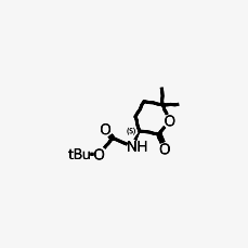 CC(C)(C)OC(=O)N[C@H]1CCC(C)(C)OC1=O